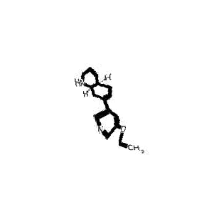 C=COc1cncc(C2=CC[C@@H]3CCCN[C@@H]3C2)c1